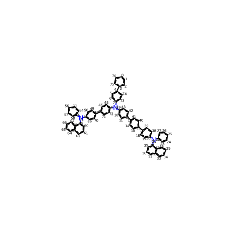 c1ccc(-c2ccc(N(c3ccc(-c4ccc(-c5ccc(N(c6ccccc6)c6cccc7ccccc67)cc5)cc4)cc3)c3ccc(-c4ccc(N(c5ccccc5)c5cccc6ccccc56)cc4)cc3)cc2)cc1